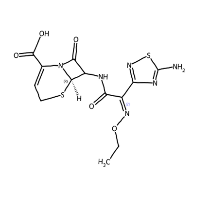 CCO/N=C(\C(=O)NC1C(=O)N2C(C(=O)O)=CCS[C@H]12)c1nsc(N)n1